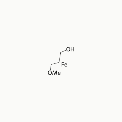 COCCCO.[Fe]